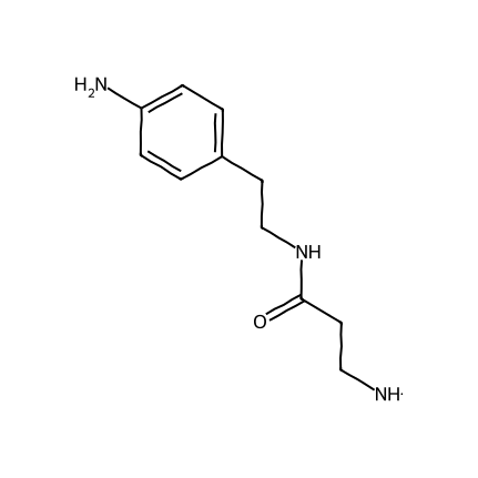 [NH]CCC(=O)NCCc1ccc(N)cc1